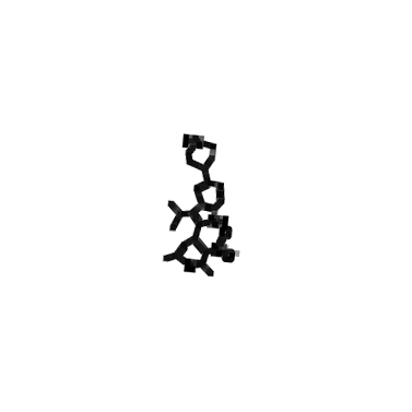 Cc1cc(-c2[nH]c3ccc(C4CCNCC4)cc3c2C(C)C)c([N+](=O)[O-])c(C)n1